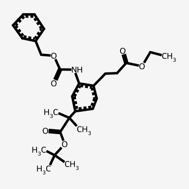 CCOC(=O)CCc1ccc(C(C)(C)C(=O)OC(C)(C)C)cc1NC(=O)OCc1ccccc1